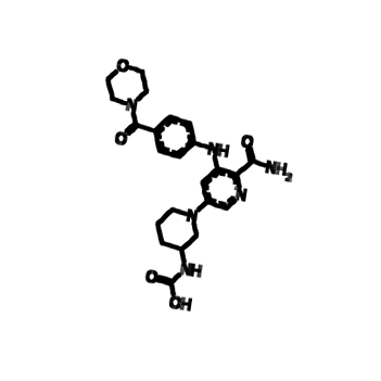 NC(=O)c1ncc(N2CCCC(NC(=O)O)C2)cc1Nc1ccc(C(=O)N2CCOCC2)cc1